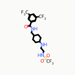 O=C(NCC1CCC(NCCNS(=O)(=O)C(F)(F)F)CC1)c1cc(C(F)(F)F)cc(C(F)(F)F)c1